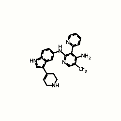 Nc1c(C(F)(F)F)cnc(Nc2ccc3[nH]cc(C4=CCNCC4)c3c2)c1-c1ccccn1